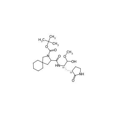 COC(O)[C@H](C[C@@H]1CCNC1=O)NC(=O)C1CC2(CCCCC2)CN1C(=O)OC(C)(C)C